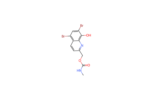 CNC(=O)OCc1ccc2c(Br)cc(Br)c(O)c2n1